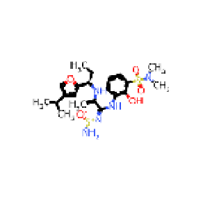 C=C(N[C@H](CC)c1cc(C(C)C)co1)/C(=N\[S+](N)[O-])Nc1cccc(S(=O)(=O)N(C)C)c1O